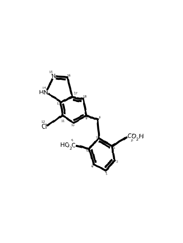 O=C(O)c1cccc(C(=O)O)c1Cc1cc(Cl)c2[nH]ncc2c1